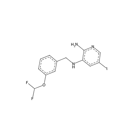 Nc1ncc(I)cc1NCc1cccc(OC(F)F)c1